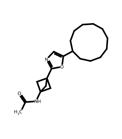 CC(=O)NC12CC(c3ncc(C4CCCCCCCCCC4)o3)(C1)C2